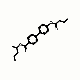 CCCC(=O)Oc1ccc(-c2ccc(C(=O)OC(C)CCC)cc2)cc1